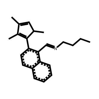 CCCCN=Cc1c(C2=C(C)C(C)=CC2C)ccc2ccccc12